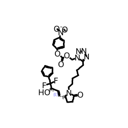 O=C(OCn1nnnc1CCCCCCN1C(=O)CC[C@@H]1/C=C/[C@@H](O)C(F)(F)c1ccccc1)Oc1ccc([N+](=O)[O-])cc1